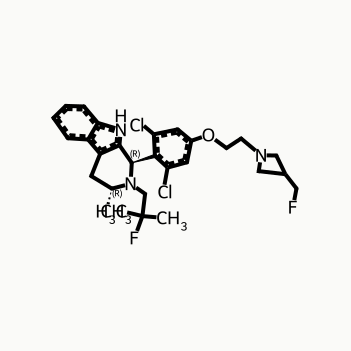 C[C@@H]1Cc2c([nH]c3ccccc23)[C@@H](c2c(Cl)cc(OCCN3CC(CF)C3)cc2Cl)N1CC(C)(C)F